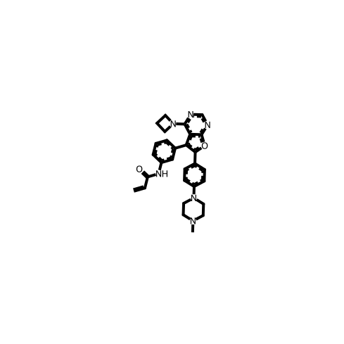 C=CC(=O)Nc1cccc(-c2c(-c3ccc(N4CCN(C)CC4)cc3)oc3ncnc(N4CCC4)c23)c1